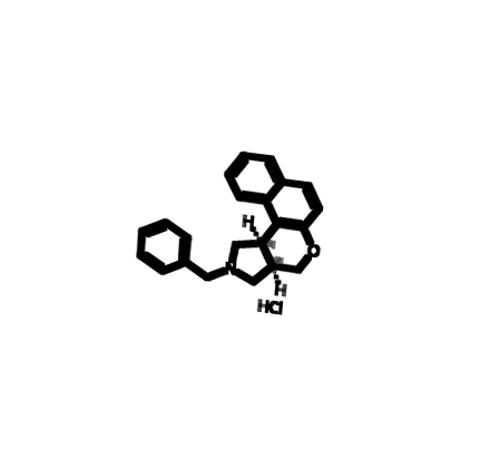 Cl.c1ccc(CN2C[C@@H]3COc4ccc5ccccc5c4[C@@H]3C2)cc1